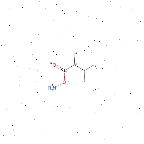 CC(C)C(C)C(=O)ON